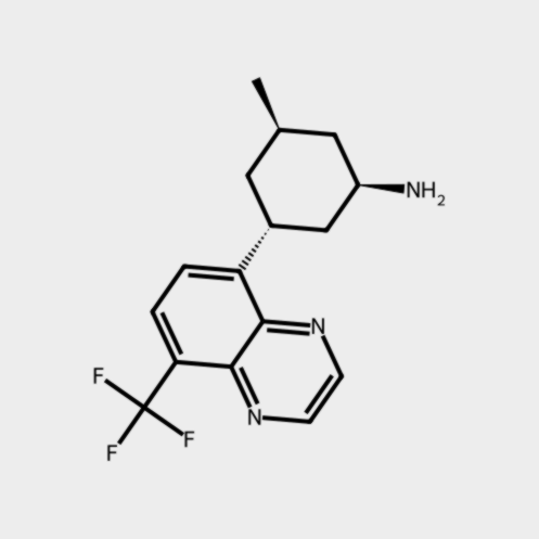 C[C@H]1C[C@@H](N)C[C@H](c2ccc(C(F)(F)F)c3nccnc23)C1